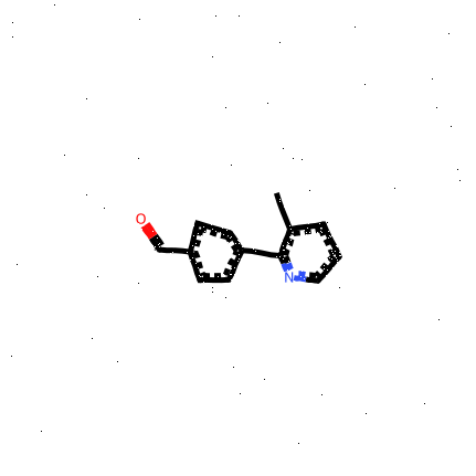 Cc1cccnc1-c1ccc([C]=O)cc1